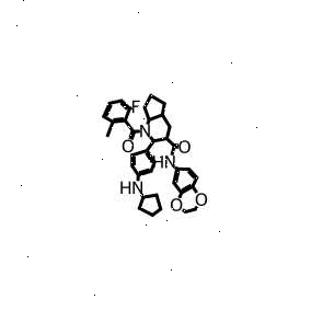 Cc1cccc(F)c1C(=O)N1C2CCCC2CC(C(=O)Nc2ccc3c(c2)OCCO3)C1c1ccc(NC2CCCC2)cc1